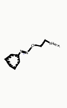 CCCCCCCCO/N=N/c1ccccc1